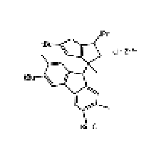 Cc1cc2c(cc1C(C)(C)C)-c1cc(C(C)(C)C)c(C)cc1C2C1(C)CC(C(C)C)C2=C1C=C(C(C)(C)C)C2.[Cl-].[Cl-].[Zr+2]